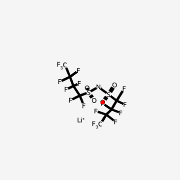 O=S(=O)([N]S(=O)(=O)C(F)(F)C(F)(F)C(F)(F)C(F)(F)F)C(F)(F)C(F)(F)C(F)(F)C(F)(F)F.[Li+]